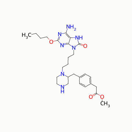 CCCCOc1nc(N)c2[nH]c(=O)n(CCCCN3CCNCC3Cc3ccc(CC(=O)OC)cc3)c2n1